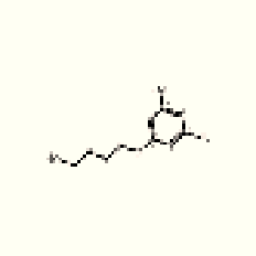 CC(=O)c1cc(F)cc(OCCCCO)c1